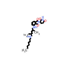 C=C/C(=C\C=C(/C=C)CNc1cccc2c1C(=O)N([C@@H]1CCC(=O)NC1=O)C2=O)CNCCCCCCCC